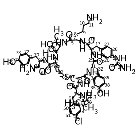 C[C@@H](O)[C@@H]1NC(=O)[C@H](CCCCN)NC(=O)[C@@H](Cc2ccc(NC(N)=O)cc2)NC(=O)[C@H](Cc2ccc(O)cc2)NC(=O)[C@H](NC(=O)[C@H](Cc2ccc(Cl)cc2)NC(C)(C)C)CSSC[C@@H](C(=O)N[C@H](Cc2ccc(O)cc2)C(N)=O)NC1=O